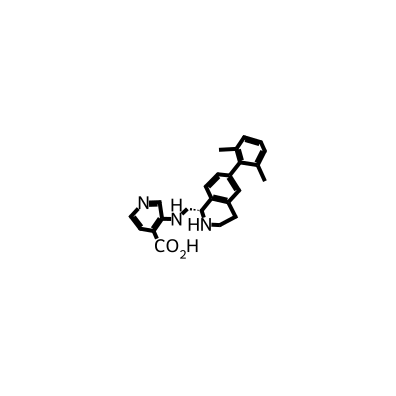 Cc1cccc(C)c1-c1ccc2c(c1)CCN[C@@H]2CNc1cnccc1C(=O)O